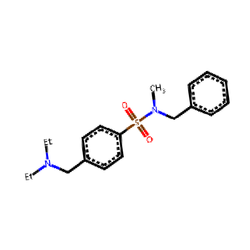 CCN(CC)Cc1ccc(S(=O)(=O)N(C)Cc2ccccc2)cc1